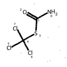 NC(=O)SC(Cl)(Cl)Cl